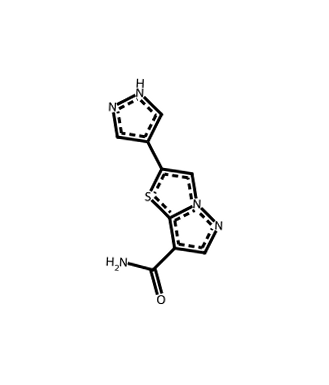 NC(=O)c1cnn2cc(-c3cn[nH]c3)sc12